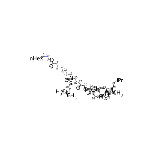 CCCCCC/C=C\COC(=O)CCCCCCCN(CCCC(=O)CO[C@H]1CC[C@@]2(C)C(=CC[C@H]3[C@@H]4CC[C@H]([C@H](C)CCCC(C)C)[C@@]4(C)CC[C@@H]32)C1)C(=O)SCCN(C)C